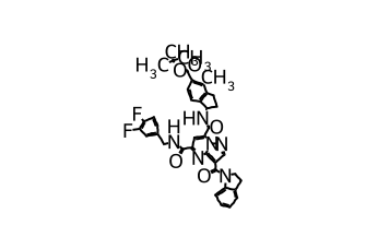 Cc1c(C(=O)OC(C)(C)C)ccc2c1CC[C@@H]2NC(=O)c1cc(C(=O)NCc2ccc(F)c(F)c2)nc2c(C(=O)N3CCc4ccccc43)cnn12